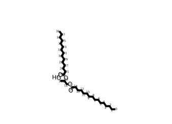 CCCCCCCCCCCCCCCC(=O)OCC(CO)OC(=O)CCCCCCCCCCCCCC